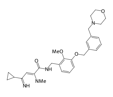 CN/C(=C\C(=N)C1CC1)C(=O)NCc1cccc(OCc2cccc(CN3CCOCC3)c2)c1OC